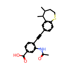 CC(=O)Nc1cc(C(=O)O)ccc1C#Cc1ccc2c(c1)C(C)C(C)CCS2